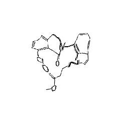 COC(=O)CCn1ccc2cccc(N3Cc4cccc(Cl)c4C3=O)c21